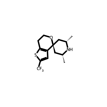 C[C@@H]1C[C@]2(C[C@H](C)N1)OCCc1sc(C(F)(F)F)cc12